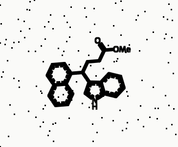 COC(=O)CCC(c1cccc2ccccc12)c1c[nH]c2ccccc12